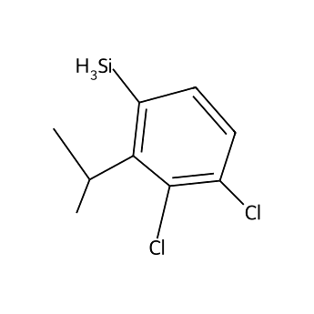 CC(C)c1c([SiH3])ccc(Cl)c1Cl